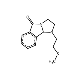 CSCCN1CCN2C(=O)c3ccccc3C12